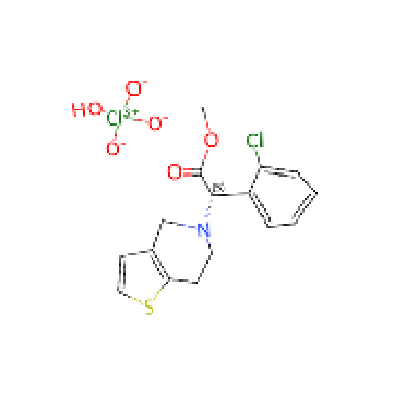 COC(=O)[C@H](c1ccccc1Cl)N1CCc2sccc2C1.[O-][Cl+3]([O-])([O-])O